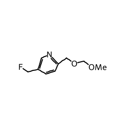 COCOCc1ccc(CF)cn1